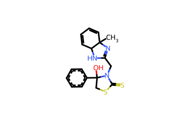 CC12C=CC=CC1NC(CN1C(=S)SCC1(O)c1ccccc1)=N2